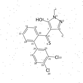 Cc1nn(C)c(O)c1C(=S)c1ccccc1-c1ccc(Cl)c(Cl)c1